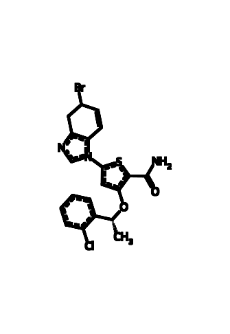 C[C@@H](Oc1cc(-n2cnc3c2C=CC(Br)C3)sc1C(N)=O)c1ccccc1Cl